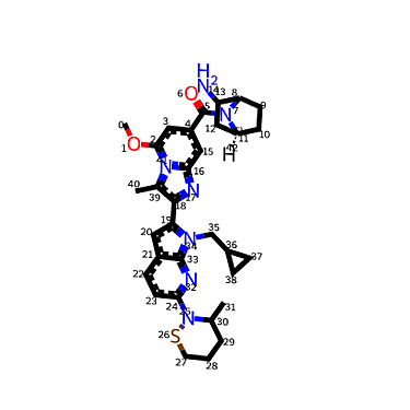 COc1cc(C(=O)N2C3CC[C@H]2CC3N)cc2nc(-c3cc4ccc(N5SCCCC5C)nc4n3CC3CC3)c(C)n12